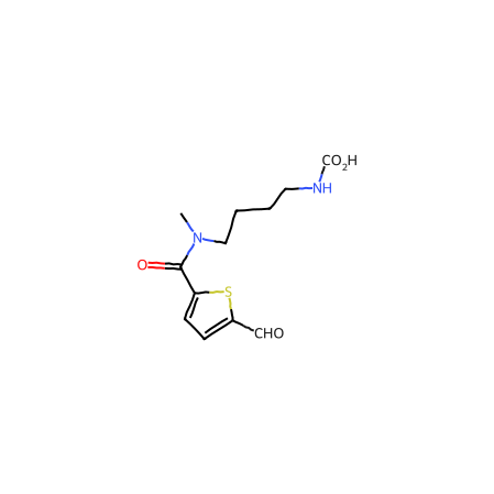 CN(CCCCNC(=O)O)C(=O)c1ccc(C=O)s1